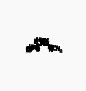 Cn1cc(-c2cnc3[nH]cc(/C=C(\C#N)C(=O)NCc4ccccc4)c3c2)cn1